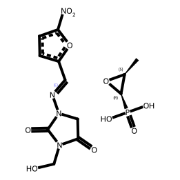 C[C@@H]1O[C@@H]1P(=O)(O)O.O=C1CN(/N=C/c2ccc([N+](=O)[O-])o2)C(=O)N1CO